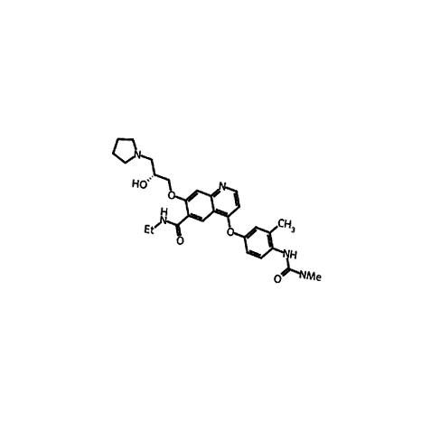 CCNC(=O)c1cc2c(Oc3ccc(NC(=O)NC)c(C)c3)ccnc2cc1OC[C@H](O)CN1CCCC1